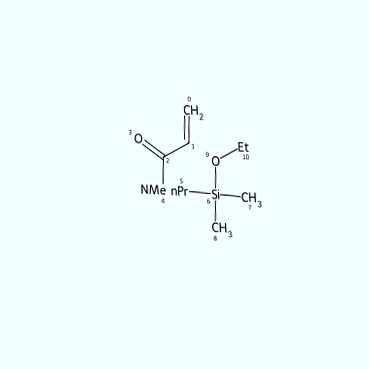 C=CC(=O)NC.CCC[Si](C)(C)OCC